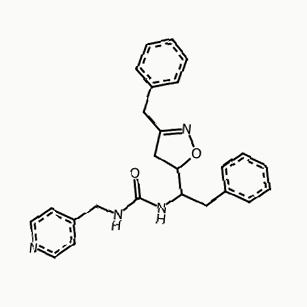 O=C(NCc1ccncc1)NC(Cc1ccccc1)C1CC(Cc2ccccc2)=NO1